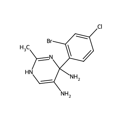 CC1=NC(N)(c2ccc(Cl)cc2Br)C(N)=CN1